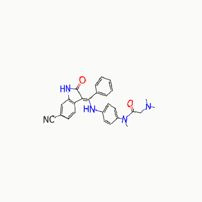 CN(C)CC(=O)N(C)c1ccc(NC(=C2C(=O)Nc3cc(C#N)ccc32)c2ccccc2)cc1